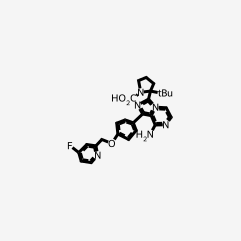 CC(C)(C)C1(c2nc(-c3ccc(OCc4cc(F)ccn4)cc3)c3c(N)nccn23)CCCN1C(=O)O